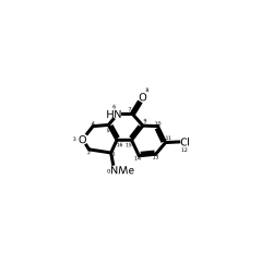 CNC1COCc2[nH]c(=O)c3cc(Cl)ccc3c21